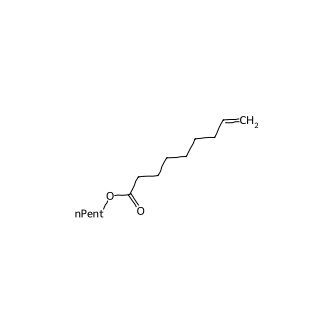 C=CCCCCCCC(=O)OCCCCC